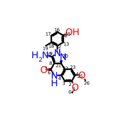 COc1cc2[nH]c(=O)c3c(N)n(-c4cc(O)ccc4C)nc3c2cc1OC